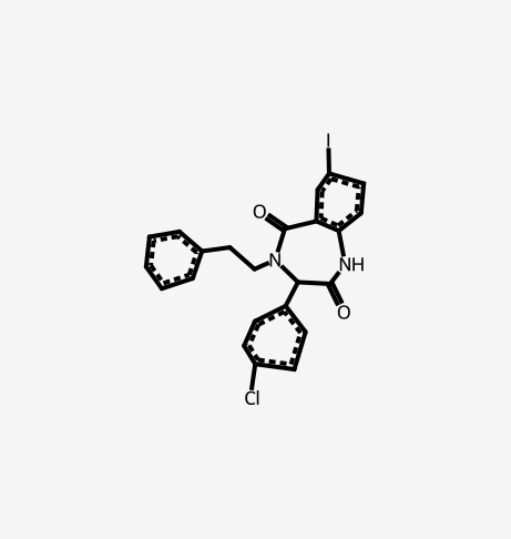 O=C1Nc2ccc(I)cc2C(=O)N(CCc2ccccc2)C1c1ccc(Cl)cc1